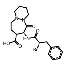 O=C(N[C@@H]1C(=O)N2CCCCN2CC[C@@H]1C(=O)O)[C@H](Br)Cc1ccccc1